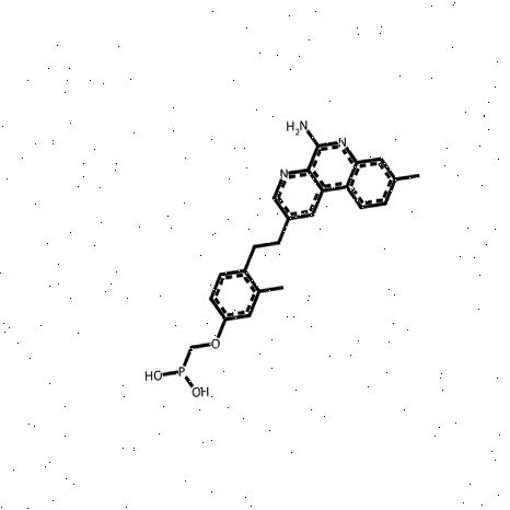 Cc1ccc2c(c1)nc(N)c1ncc(CCc3ccc(OCP(O)O)cc3C)cc12